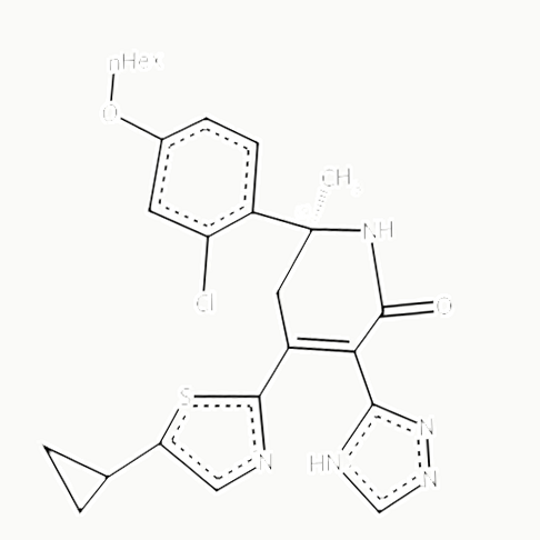 CCCCCCOc1ccc([C@]2(C)CC(c3ncc(C4CC4)s3)=C(c3nnc[nH]3)C(=O)N2)c(Cl)c1